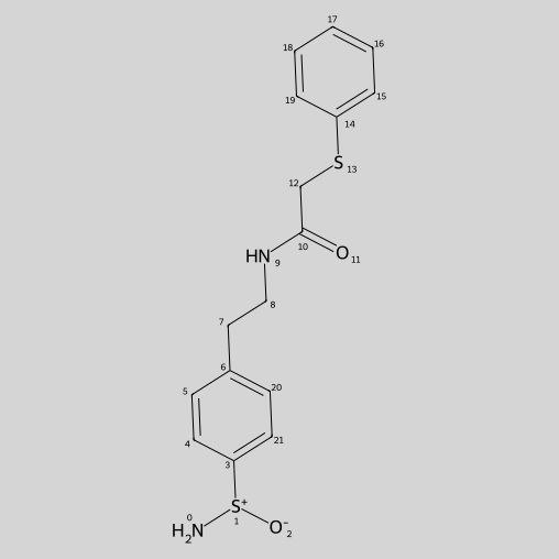 N[S+]([O-])c1ccc(CCNC(=O)CSc2ccccc2)cc1